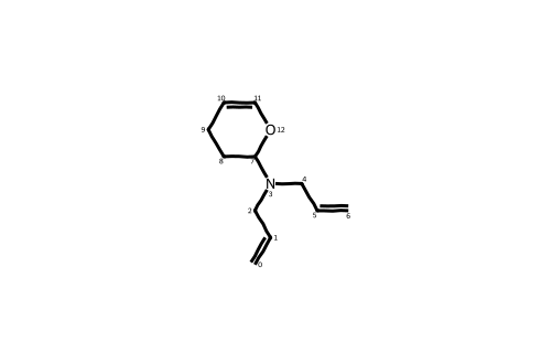 C=CCN(CC=C)C1CCC=CO1